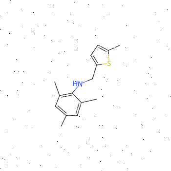 Cc1cc(C)c(NCc2ccc(C)s2)c(C)c1